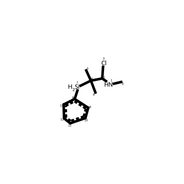 CNC(Cl)C(C)(C)[SiH2]c1ccccc1